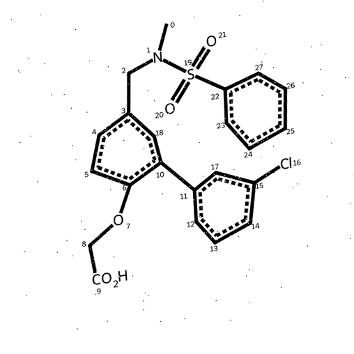 CN(Cc1ccc(OCC(=O)O)c(-c2cccc(Cl)c2)c1)S(=O)(=O)c1ccccc1